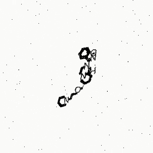 c1ccc2c(N3CCN4C[C@@H](COCCCN5CCCCC5)CC[C@H]4C3)noc2c1